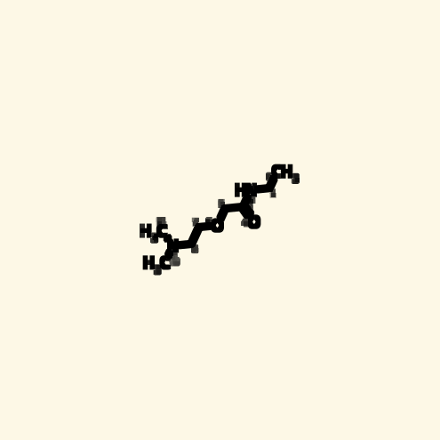 CCNC(=O)COCCN(C)C